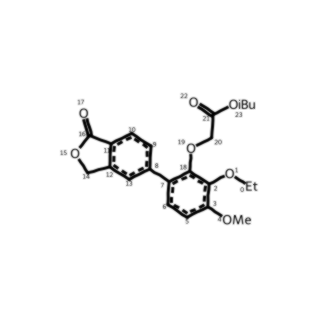 CCOc1c(OC)ccc(-c2ccc3c(c2)COC3=O)c1OCC(=O)OCC(C)C